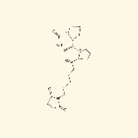 O=C(O)[C@@H]1CCCN1C(=O)[C@@H]1CCCN1C(=O)CCCCCN1C(=O)C=CC1=O